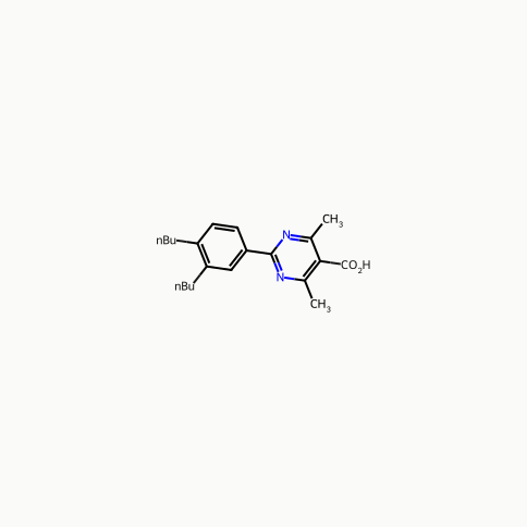 CCCCc1ccc(-c2nc(C)c(C(=O)O)c(C)n2)cc1CCCC